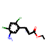 CCOC(=O)/C=C/c1cc(N)c(F)cc1Cl